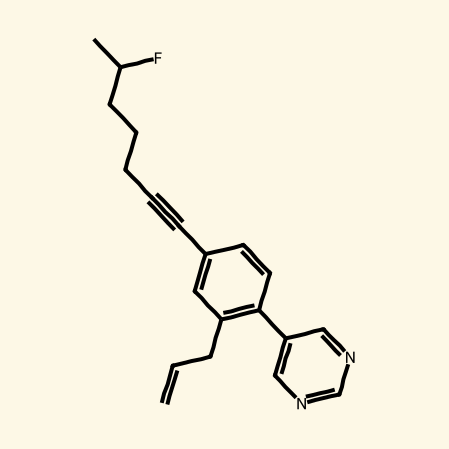 C=CCc1cc(C#CCCCC(C)F)ccc1-c1cncnc1